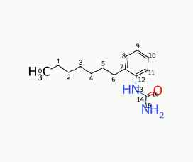 CCCCCCCc1ccccc1NC(N)=O